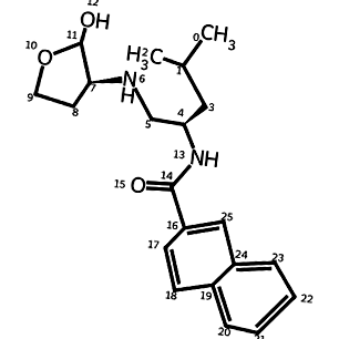 CC(C)C[C@H](CN[C@H]1CCOC1O)NC(=O)c1ccc2ccccc2c1